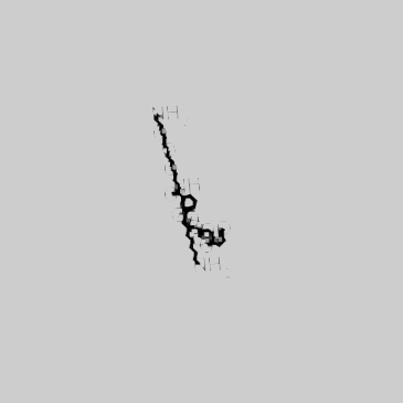 NCCCCCC(CS(=O)(=O)c1cccc(C(=O)NCCOCCOCCOCCN)c1)OC(=O)ON1C(=O)CCC1=O